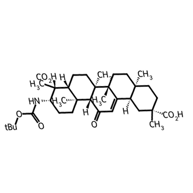 CC(C)(C)OC(=O)N[C@H]1CC[C@@]2(C)[C@@H](CC[C@]3(C)[C@@H]2C(=O)C=C2[C@@H]4C[C@@](C)(C(=O)O)CC[C@]4(C)CC[C@]23C)[C@]1(C)C(=O)O